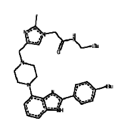 Cc1nc(CN2CCN(c3cccc4[nH]c(-c5ccc(C(C)(C)C)cc5)nc34)CC2)cn1CC(=O)NCC(C)(C)C